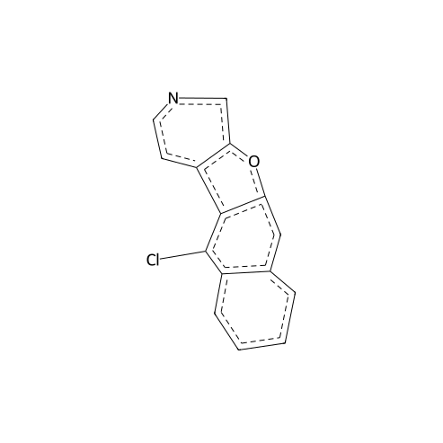 Clc1c2ccccc2cc2oc3cnccc3c12